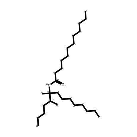 CCCCCCCCCCCC(=O)OC(C)(CCCCCCCC)C(C)CCCC